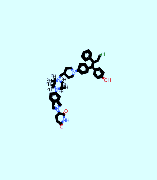 [2H]C1([2H])N(CC2CCN(c3ccc(C(=C(CCCl)c4ccccc4)c4ccc(O)cc4)cc3)CC2)C([2H])([2H])C([2H])([2H])N(c2ccc3cn(C4CCC(=O)NC4=O)cc3c2)C1([2H])[2H]